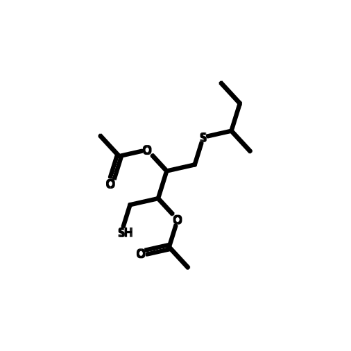 CCC(C)SCC(OC(C)=O)C(CS)OC(C)=O